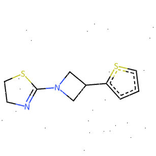 c1csc(C2CN(C3=NCCS3)C2)c1